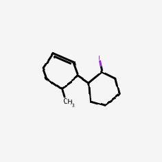 CC1CCC=CC1C1CCCCC1I